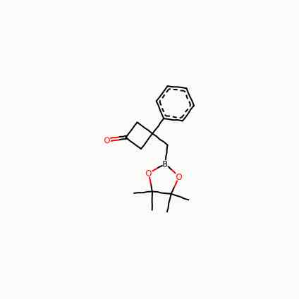 CC1(C)OB(CC2(c3ccccc3)CC(=O)C2)OC1(C)C